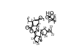 CCc1cc(OC)cc2nc(-c3cccnc3N3CC[C@H](N(C)C)C3)oc(=O)c12.O=C(O)C(F)(F)F